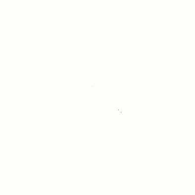 CCCC(C)(CC(N)C(=O)O)C(F)F